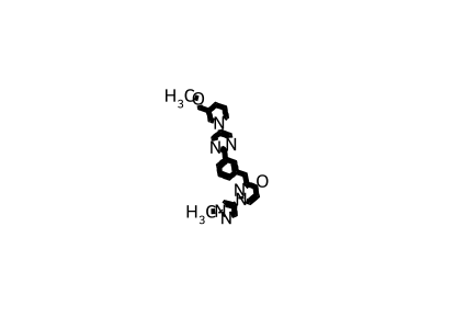 COCC1CCCN(c2cnc(-c3cccc(Cc4nn(-c5cnn(C)c5)ccc4=O)c3)nc2)C1